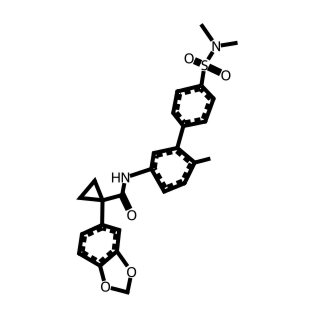 Cc1ccc(NC(=O)C2(c3ccc4c(c3)OCO4)CC2)cc1-c1ccc(S(=O)(=O)N(C)C)cc1